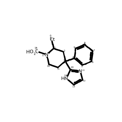 CCC1CC(c2ccccc2)(c2ncc[nH]2)CCN1C(=O)O